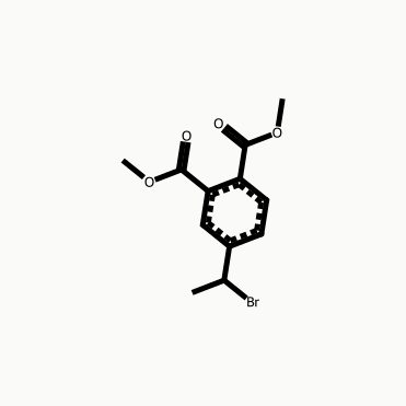 COC(=O)c1ccc(C(C)Br)cc1C(=O)OC